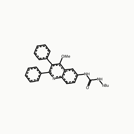 CCCCNC(=O)Nc1ccc2nc(-c3ccccc3)c(-c3ccccc3)c(OC)c2c1